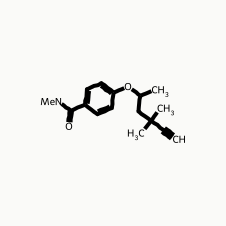 C#CC(C)(C)CC(C)Oc1ccc(C(=O)NC)cc1